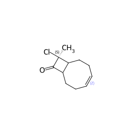 C[C@@]1(Cl)C(=O)C2CC/C=C\CCC21